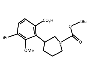 COc1c(C(C)C)ccc(C(=O)O)c1C1CCCN(C(=O)OC(C)(C)C)C1